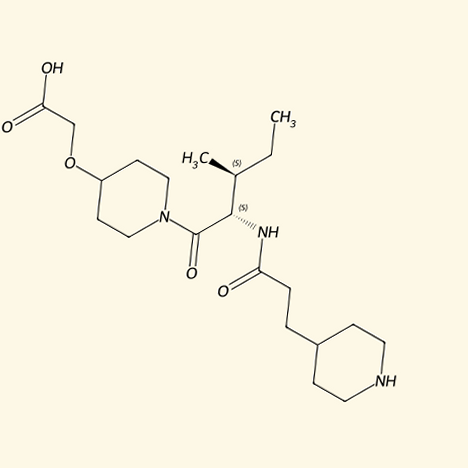 CC[C@H](C)[C@H](NC(=O)CCC1CCNCC1)C(=O)N1CCC(OCC(=O)O)CC1